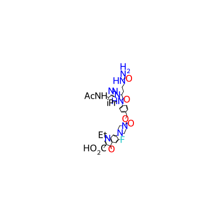 CCn1cc(C(=O)O)c(=O)c2cc(F)c(N3CCN(C(=O)OCc4ccc(NC(=O)C(CCCNC(N)=O)n5cc(C(NC(C)=O)C(C)C)nn5)cc4)CC3)cc21